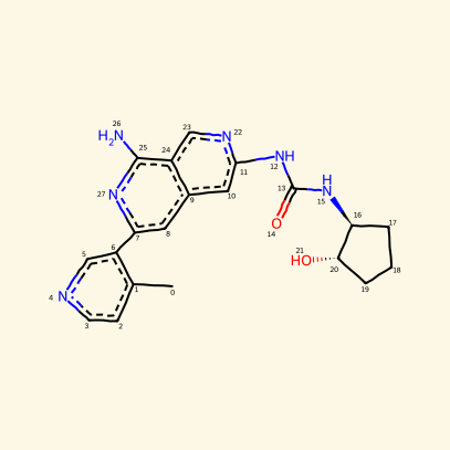 Cc1ccncc1-c1cc2cc(NC(=O)N[C@H]3CCC[C@@H]3O)ncc2c(N)n1